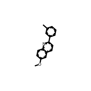 COc1ccc2nc(-c3cccc(C)c3)ccc2c1